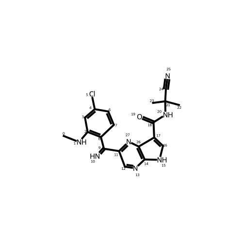 CNc1cc(Cl)ccc1C(=N)c1cnc2[nH]cc(C(=O)NC(C)(C)C#N)c2n1